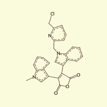 Cn1cc(C2=C(c3cn(Cc4cccc(CCl)n4)c4ccccc34)C(=O)OC2=O)c2ccccc21